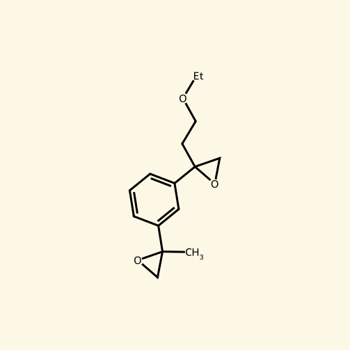 CCOCCC1(c2cccc(C3(C)CO3)c2)CO1